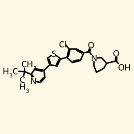 CC(C)(C)c1cc(-c2csc(-c3ccc(C(=O)N4CCCC(C(=O)O)C4)cc3Cl)c2)ccn1